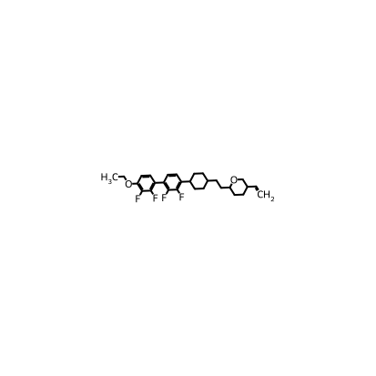 C=CC1CCC(CCC2CCC(c3ccc(-c4ccc(OCC)c(F)c4F)c(F)c3F)CC2)OC1